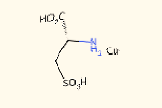 N[C@H](CS(=O)(=O)O)C(=O)O.[Cu]